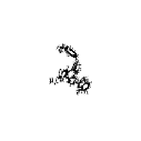 Cc1ncc(C(=NOc2ccnc(C(F)(F)F)c2)C(F)F)c(C2CCN(C(=O)Cc3c(F)cccc3F)CC2)n1